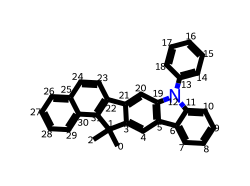 CC1(C)c2cc3c4ccccc4n(-c4ccccc4)c3cc2-c2ccc3ccccc3c21